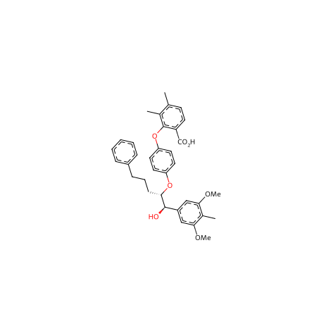 COc1cc([C@@H](O)[C@H](CCCc2ccccc2)Oc2ccc(Oc3c(C(=O)O)ccc(C)c3C)cc2)cc(OC)c1C